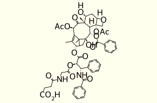 CC(=O)O[C@H]1C(=O)[C@@]2(C)[C@H]([C@H](OC(=O)c3ccccc3)[C@]3(O)C[C@H](OC(=O)[C@H](OC(=O)CNC(=O)CCC(=O)O)[C@@H](NC(=O)c4ccccc4)c4ccccc4)C(C)=C1C3(C)C)[C@]1(OC(C)=O)CO[C@@H]1C[C@@H]2O